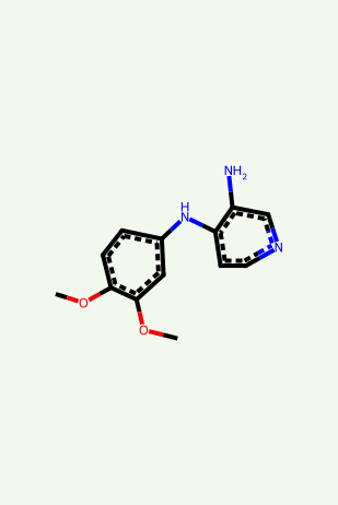 COc1ccc(Nc2ccncc2N)cc1OC